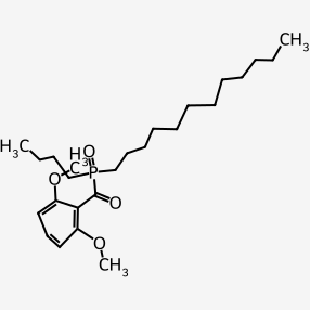 CCCCCCCCCCCCP(=O)(CCCC)C(=O)c1c(OC)cccc1OC